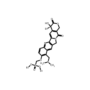 CCOP(=O)(COc1ccc2nc3c(cc2c1CN(C)C)Cn1c-3cc2c(c1=O)COC(=O)[C@]2(O)CC)OCC